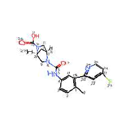 Cc1ccc(NC(=O)N2C[C@@H]3C[C@H]2CN3C(=O)O)cc1-c1cc(F)ccn1